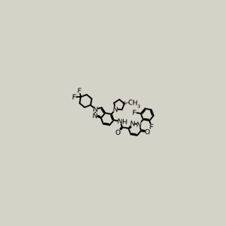 C[C@H]1CCN(c2c(NC(=O)c3ccc(=O)n(-c4c(F)cccc4F)n3)ccc3nn(C4CCC(F)(F)CC4)cc23)C1